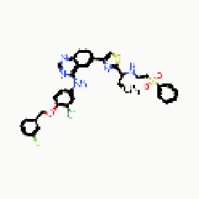 CCC(NCCS(=O)(=O)c1ccccc1)c1nc(-c2ccc3ncnc(Nc4ccc(OCc5cccc(F)c5)c(Cl)c4)c3c2)cs1